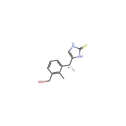 Cc1c(CO)cccc1[C@@H](C)c1c[nH]c(=S)[nH]1